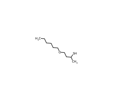 CCCCCCOCCC(C)S